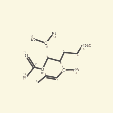 C/C=C/OCCC.CCCCCCCCCCCCCCOC(=O)CC.CCOCC